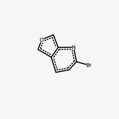 Brc1ccc2cocc2n1